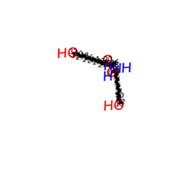 O=C(/C=C/CCCCCCCCCO)N[C@H]1C[C@H]1NC(=O)/C=C/CCCCCCCCCO